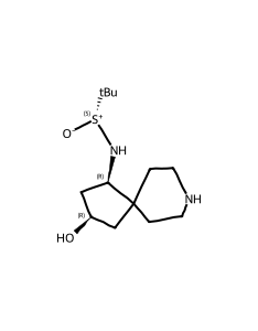 CC(C)(C)[S@@+]([O-])N[C@@H]1C[C@H](O)CC12CCNCC2